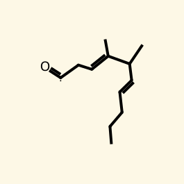 CCCC=CC(C)C(C)=CC[C]=O